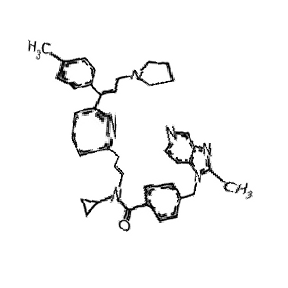 Cc1ccc(C(=CCN2CCCC2)c2cccc(CC=CN(C(=O)c3ccc(Cn4c(C)nc5cnccc54)cc3)C3CC3)n2)cc1